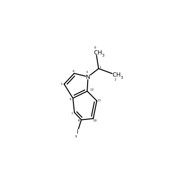 CC(C)n1ccc2cc(I)ccc21